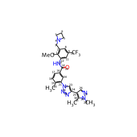 COc1c(CN2CCC2)cc(C(F)(F)F)cc1NC(=O)c1ccc(C)c(-n2cc(-c3cnn(C)c3C)nn2)c1